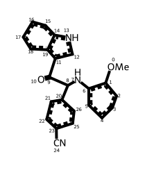 COc1ccccc1NC(C(=O)c1c[nH]c2ccccc12)c1ccc(C#N)cc1